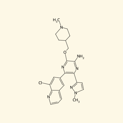 CN1CCC(COc2nc(-c3cc(Cl)c4ncccc4c3)c(-c3ccn(C)n3)nc2N)CC1